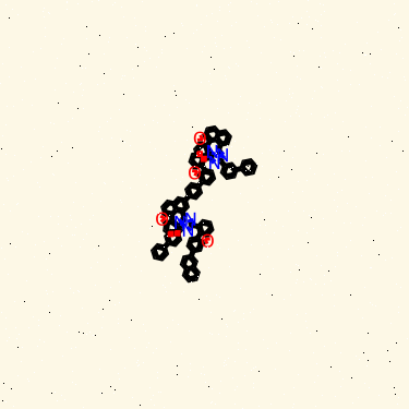 c1ccc(-c2ccc(-c3nc(-c4cccc5oc6cc(-c7ccc8ccccc8c7)ccc6c45)nc(-c4cc(-c5ccc(-c6cccc7c6oc6cccc(-c8nc(-c9cccc(-c%10ccccc%10)c9)nc(-c9cccc%10ccc%11oc%12ccccc%12c%11c9%10)n8)c67)cc5)cc5ccc6oc7ccccc7c6c45)n3)cc2)cc1